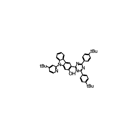 CC(C)(C)c1ccc(-c2nc(-c3ccc(C(C)(C)C)cc3)nc(-c3cc4c5ccccc5n(-c5cc(C(C)(C)C)ccn5)c4cc3O)n2)cc1